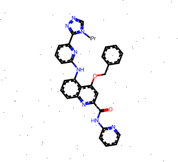 CC(C)n1cnnc1-c1cccc(Nc2cccc3nc(C(=O)Nc4ccccn4)cc(OCc4ccccc4)c23)n1